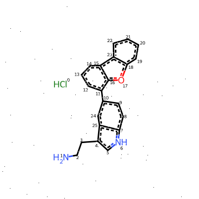 Cl.NCCc1c[nH]c2ccc(-c3cccc4c3oc3ccccc34)cc12